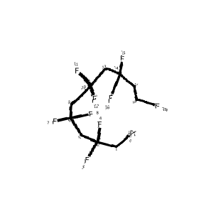 CC(C)CC(F)(F)CC(F)(F)CC(F)(F)CC(F)(F)CCF